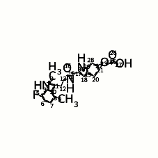 Cc1[nH]c2c(F)ccc(C)c2c1CCNC(=O)c1cc2ccc(OCC(=O)O)cc2[nH]1